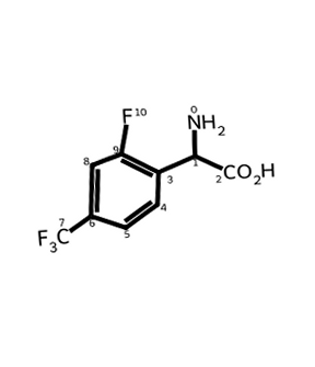 NC(C(=O)O)c1ccc(C(F)(F)F)cc1F